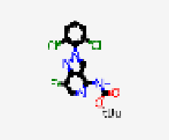 CC(C)(C)OC(=O)Nc1ncc(F)c2nn(-c3c(Cl)cccc3Cl)cc12